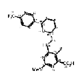 COc1nc(NC[C@H]2CCC[C@@H](c3ccc(C(F)(F)F)cc3)O2)c(C)c(C(=O)O)n1